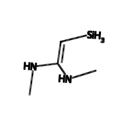 CNC(=C[SiH3])NC